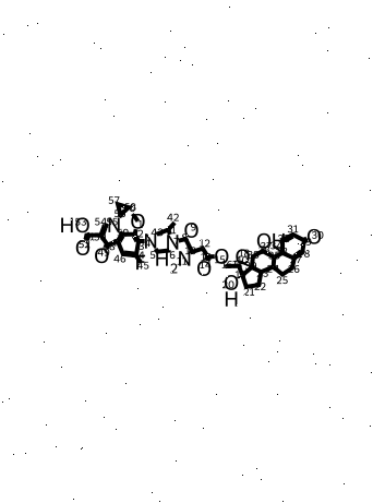 COc1c(N2CCN(C(=O)[C@H](N)CC(=O)OCC(=O)[C@]3(O)CCC4C5CCC6=CC(=O)C=C[C@@]6(C)C5[C@H](O)C[C@]43C)C(C)C2)c(F)cc2c(=O)c(C(=O)O)cn(C3CC3)c12